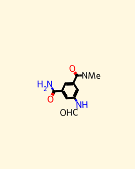 CNC(=O)c1cc(NC=O)cc(C(N)=O)c1